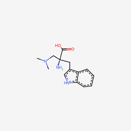 CN(C)C[C@@](N)(Cc1c[nH]c2ccccc12)C(=O)O